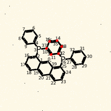 [c]1c2c(P(c3ccccc3)c3ccccc3)cccc2cc2cccc(P(c3ccccc3)c3ccccc3)c12